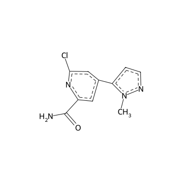 Cn1nccc1-c1cc(Cl)nc(C(N)=O)c1